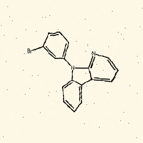 Brc1cccc(-n2c3ccccc3c3cccnc32)c1